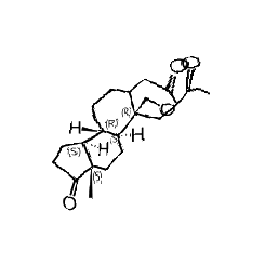 CC(=O)OC[C@]12CCC(=O)CC1CC[C@@H]1[C@@H]2CC[C@]2(C)C(=O)CC[C@@H]12